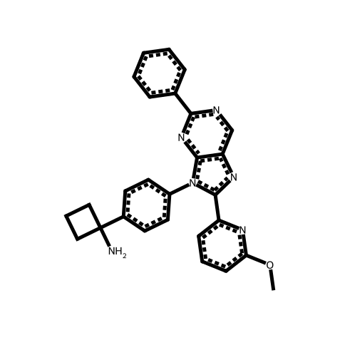 COc1cccc(-c2nc3cnc(-c4ccccc4)nc3n2-c2ccc(C3(N)CCC3)cc2)n1